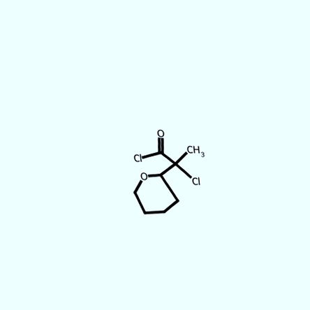 CC(Cl)(C(=O)Cl)C1CCCCO1